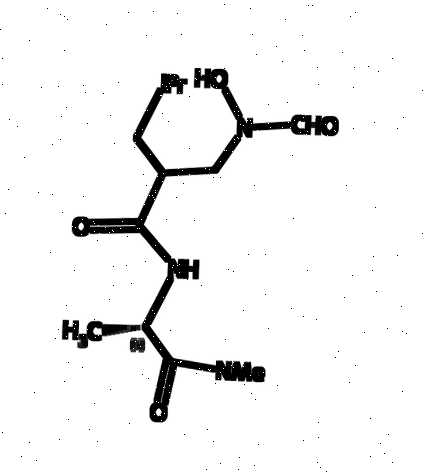 CNC(=O)[C@H](C)NC(=O)C(CC(C)C)CN(O)C=O